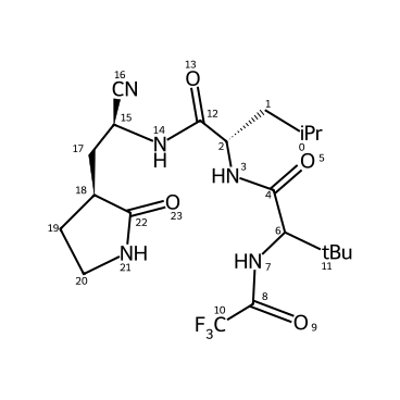 CC(C)C[C@H](NC(=O)C(NC(=O)C(F)(F)F)C(C)(C)C)C(=O)N[C@H](C#N)C[C@@H]1CCNC1=O